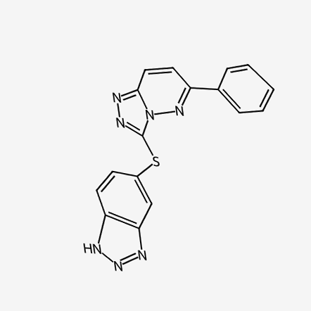 c1ccc(-c2ccc3nnc(Sc4ccc5[nH]nnc5c4)n3n2)cc1